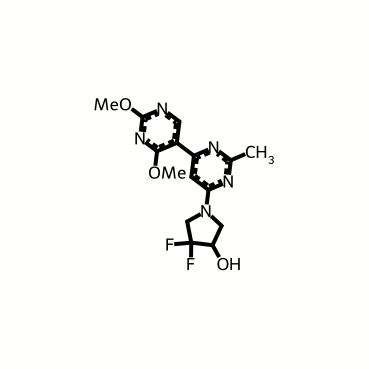 COc1ncc(-c2cc(N3CC(O)C(F)(F)C3)nc(C)n2)c(OC)n1